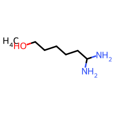 C.NC(N)CCCCCO